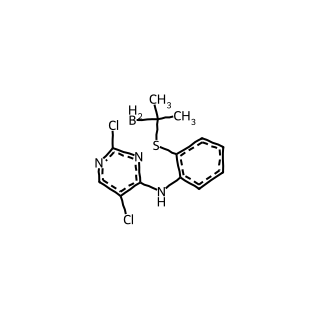 BC(C)(C)Sc1ccccc1Nc1nc(Cl)ncc1Cl